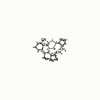 Cn1cnnc1C1CCN(c2c(C#N)cccc2-c2cnc3nnn(C)c3c2)CC1